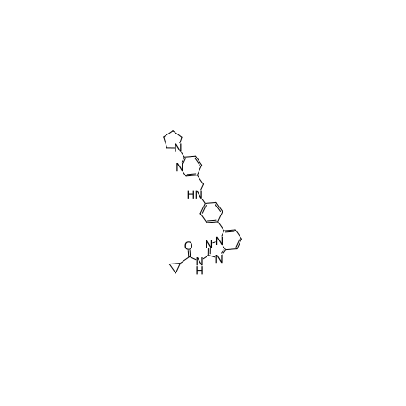 O=C(Nc1nc2cccc(-c3ccc(NCc4ccc(N5CCCC5)nc4)cc3)n2n1)C1CC1